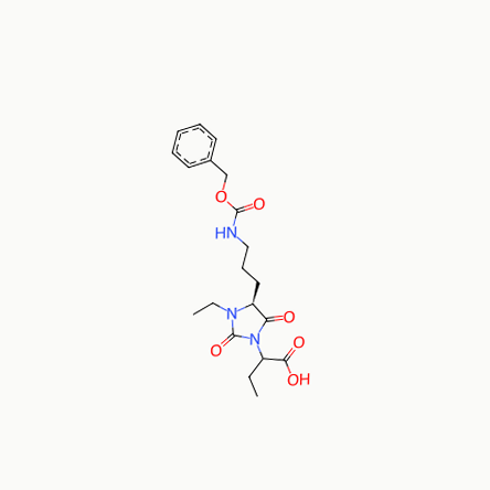 CCC(C(=O)O)N1C(=O)[C@H](CCCNC(=O)OCc2ccccc2)N(CC)C1=O